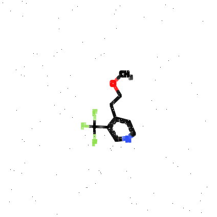 COCCc1ccncc1C(F)(F)F